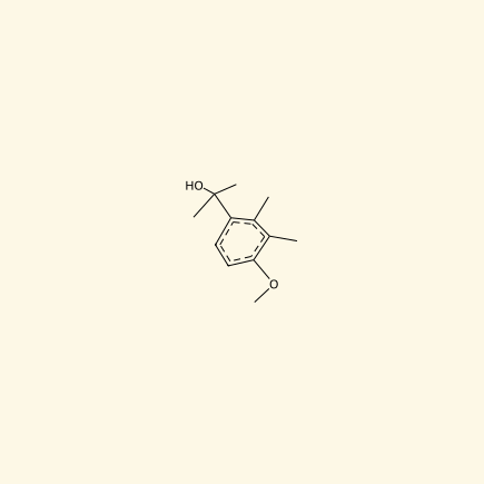 COc1ccc(C(C)(C)O)c(C)c1C